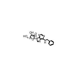 OC[C@H]1O[C@@H](n2cnc3c(NCc4ccccc4)ncnc32)[C@H](O)[C@H]1O